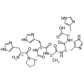 C[C@H](NC(=O)[C@H](Cc1c[nH]cn1)NC(=O)[C@@H]1CCCN1C(=O)[C@@H](N)Cc1c[nH]cn1)C(=O)N[C@@H](Cc1c[nH]cn1)C(=O)N[C@@H](Cc1c[nH]cn1)C(=O)O